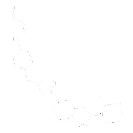 N=C/C=C\Nc1ccc(Cc2cnc(N3CCc4ccc(N5CCCNC5=O)cc4C3)s2)cc1